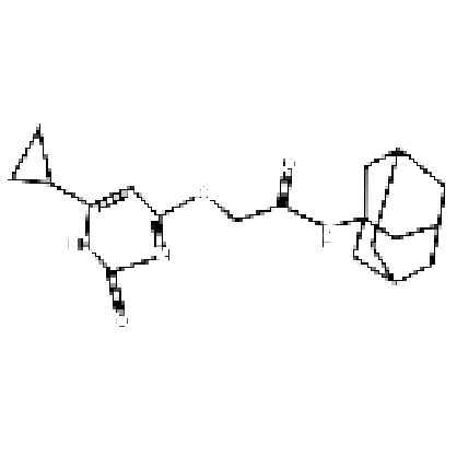 O=C(COc1cc(C2CC2)[nH]c(=O)n1)NC12CC3CC(CC(C3)C1)C2